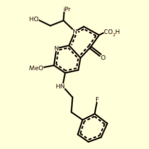 COc1nc2c(cc1NCCc1ccccc1F)c(=O)c(C(=O)O)cn2C(CO)C(C)C